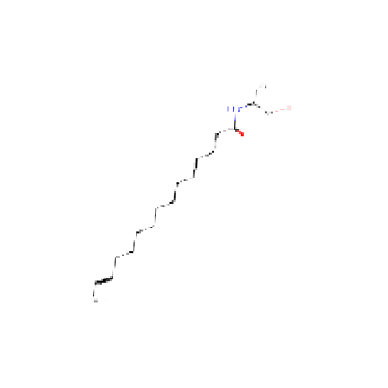 CCCCCCCCC=CCCCCCCCCCCCC(=O)NC(CO)CCCC